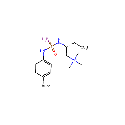 CCCCCCCCCCc1ccc(N[SH](=O)(P)N[C@H](CC(=O)O)C[N+](C)(C)C)cc1